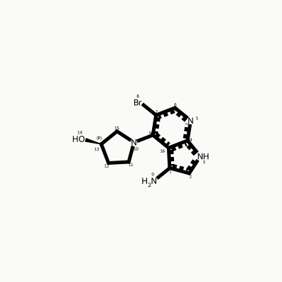 Nc1c[nH]c2ncc(Br)c(N3CC[C@@H](O)C3)c12